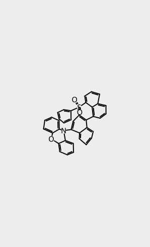 O=S(=O)(c1ccccc1)c1cccc2cccc(-c3ccc(N4c5ccccc5Oc5ccccc54)c4ccccc34)c12